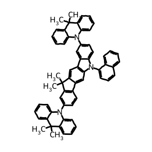 CC1(C)c2cc(N3c4ccccc4C(C)(C)c4ccccc43)ccc2-c2cc3c(cc21)c1cc(N2c4ccccc4C(C)(C)c4ccccc42)ccc1n3-c1cccc2ccccc12